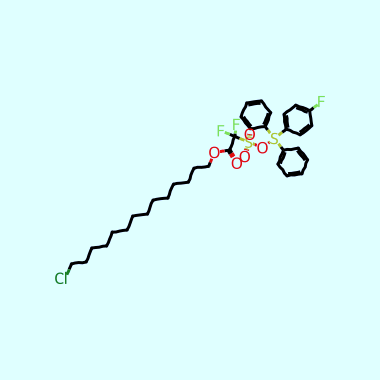 O=C(OCCCCCCCCCCCCCCCl)C(F)(F)S(=O)(=O)OS(c1ccccc1)(c1ccccc1)c1ccc(F)cc1